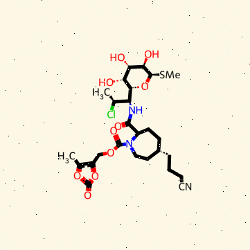 CS[C@H]1O[C@H]([C@H](NC(=O)C2CC[C@H](CCCC#N)CCN2C(=O)OCc2oc(=O)oc2C)[C@H](C)Cl)[C@H](O)[C@H](O)[C@H]1O